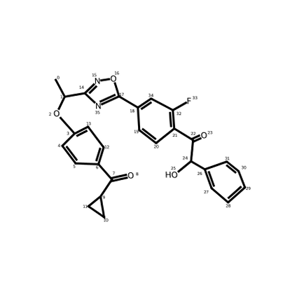 CC(Oc1ccc(C(=O)C2CC2)cc1)c1noc(-c2ccc(C(=O)C(O)c3ccccc3)c(F)c2)n1